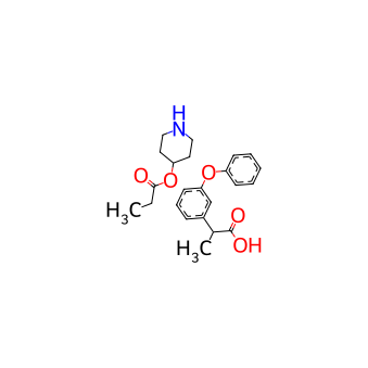 CC(C(=O)O)c1cccc(Oc2ccccc2)c1.CCC(=O)OC1CCNCC1